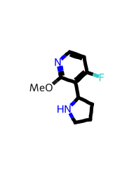 COc1nccc(F)c1C1CCCN1